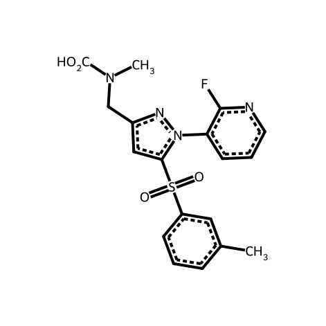 Cc1cccc(S(=O)(=O)c2cc(CN(C)C(=O)O)nn2-c2cccnc2F)c1